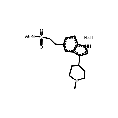 CNS(=O)(=O)CCc1ccc2[nH]cc(C3CCN(C)CC3)c2c1.[NaH]